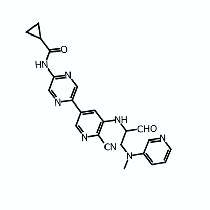 CN(CC(C=O)Nc1cc(-c2cnc(NC(=O)C3CC3)cn2)cnc1C#N)c1cccnc1